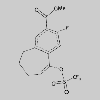 COC(=O)c1cc2c(cc1F)C(OS(=O)(=O)C(F)(F)F)=CCCC2